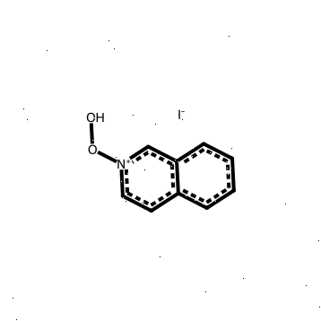 OO[n+]1ccc2ccccc2c1.[I-]